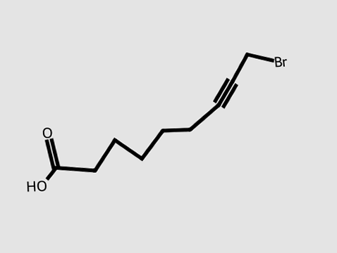 O=C(O)CCCCCC#CCBr